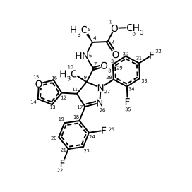 COC(=O)[C@H](C)NC(=O)C1(C)C(c2ccoc2)C(c2ccc(F)cc2F)=NN1c1ccc(F)cc1F